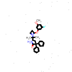 COc1cc(F)cc(OC2CCN2C(C)(C)CCC(C(N)=O)(c2ccccc2)c2ccccc2)c1